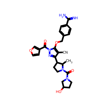 CC1C(c2nn(C(=O)c3ccoc3)c(OCc3ccc(C(=N)N)cc3)c2C#N)CCN1C(=O)N1CCC(O)C1